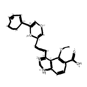 COc1c(C(=O)O)ccc2[nH]nc(C=CC3=COC=C(C4=CC=CCC4)O3)c12